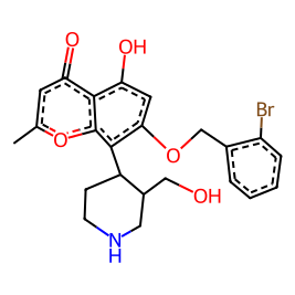 Cc1cc(=O)c2c(O)cc(OCc3ccccc3Br)c(C3CCNCC3CO)c2o1